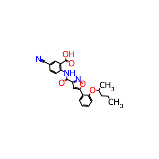 CCCC(C)Oc1ccccc1-c1cc(C(=O)Nc2ccc(C#N)cc2C(=O)O)no1